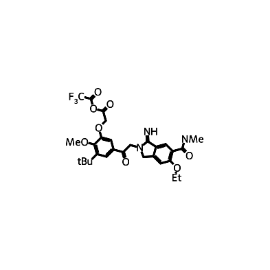 CCOc1cc2c(cc1C(=O)NC)C(=N)N(CC(=O)c1cc(OCC(=O)OC(=O)C(F)(F)F)c(OC)c(C(C)(C)C)c1)C2